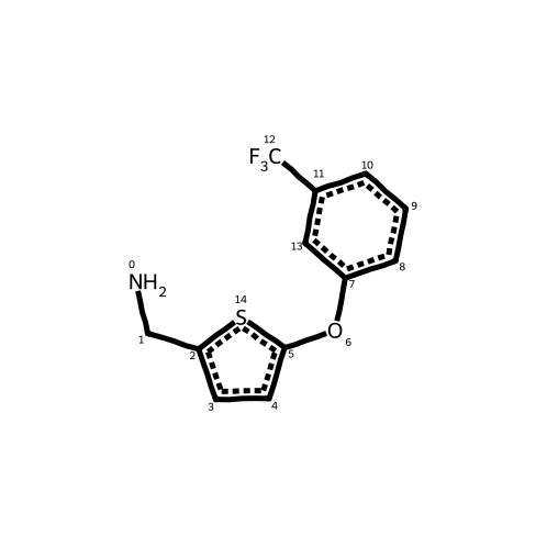 NCc1ccc(Oc2cccc(C(F)(F)F)c2)s1